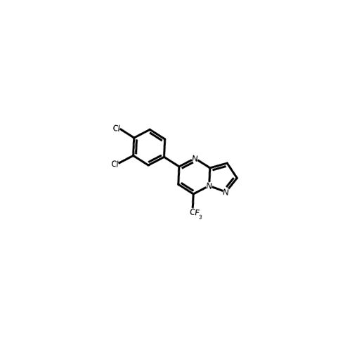 FC(F)(F)c1cc(-c2ccc(Cl)c(Cl)c2)nc2ccnn12